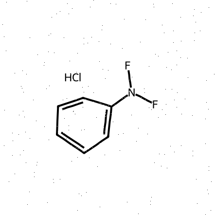 Cl.FN(F)c1ccccc1